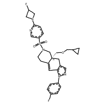 O=S(=O)(c1ccc(N2CC(F)C2)nc1)N1CCC2=Cc3c(cnn3-c3ccc(F)cc3)C[C@]2(COCC2CC2)C1